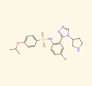 CC(C)Oc1ccc(S(=O)(=O)Nc2ccc(Cl)cc2-c2nncn2C2CCNC2)cc1